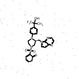 CC(O)(c1ccc(N2CCN(S(=O)(=O)C3=CC=CCC3=S)C[C@@H]2Cn2ccc3nccnc32)cc1)C(F)(F)F